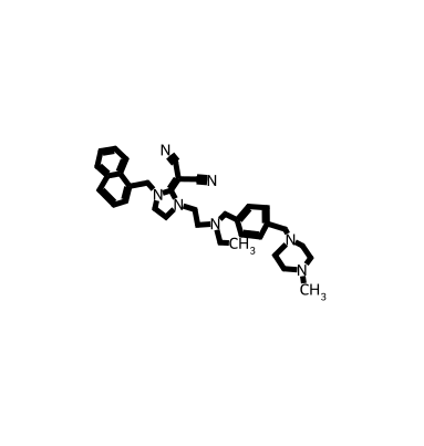 CCN(CCN1CCN(Cc2cccc3ccccc23)C1=C(C#N)C#N)Cc1ccc(CN2CCN(C)CC2)cc1